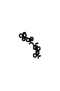 C=CC(C)(C/C=C(\C)C(=O)OCC(=O)OC1(C=C)CCCC1)OC(=O)COC(=O)C(=C)C